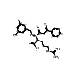 N=C(N)NCCC[C@@H](C(=O)O)N(NCc1cc(Cl)cc(Cl)c1)C(=O)CC(=O)c1cccnc1